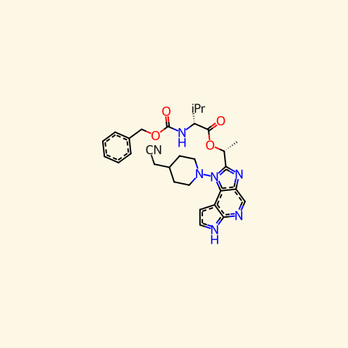 CC(C)[C@@H](NC(=O)OCc1ccccc1)C(=O)O[C@H](C)c1nc2cnc3[nH]ccc3c2n1N1CCC(CC#N)CC1